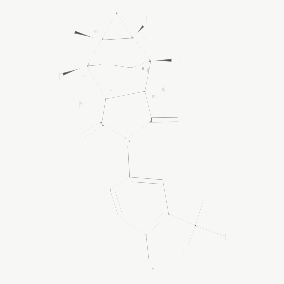 O=C1[C@@H]2[C@@H]3CC[C@@H]([C@@H]4C[C@@H]43)[C@@H]2C(=O)N1c1ccc(Br)c(C(F)(F)F)c1